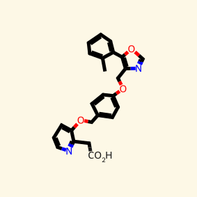 Cc1ccccc1-c1ocnc1COc1ccc(COc2cccnc2CC(=O)O)cc1